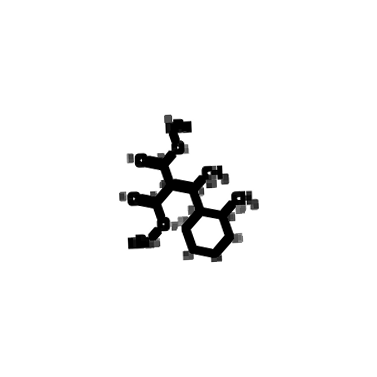 CCCCOC(=O)C(C(=O)OCCCC)=C(C)C1CCCCC1C